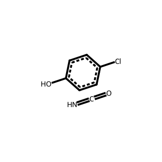 N=C=O.Oc1ccc(Cl)cc1